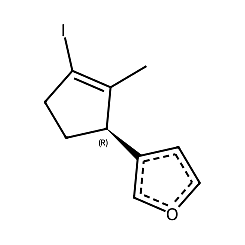 CC1=C(I)CC[C@@H]1c1ccoc1